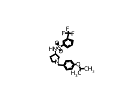 CC(C)Oc1ccc(CN2CC[C@@H](NS(=O)(=O)c3cccc(C(F)(F)F)c3)C2)cc1